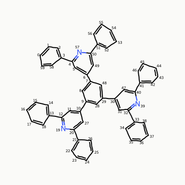 c1ccc(-c2cc(-c3cc(-c4cc(-c5ccccc5)nc(-c5ccccc5)c4)cc(-c4cc(-c5ccccc5)nc(-c5ccccc5)c4)c3)cc(-c3ccccc3)n2)cc1